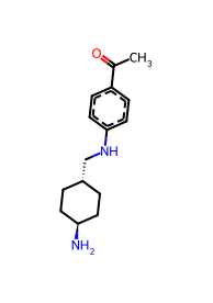 CC(=O)c1ccc(NC[C@H]2CC[C@H](N)CC2)cc1